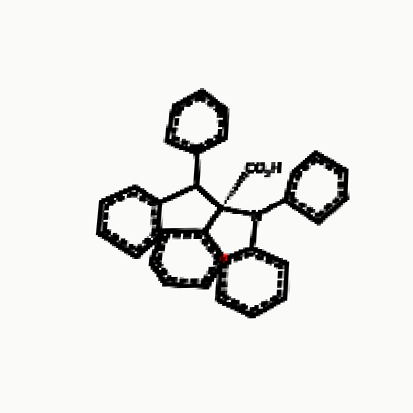 O=C(O)[C@](c1ccccc1)(C(c1ccccc1)c1ccccc1)N(c1ccccc1)c1ccccc1